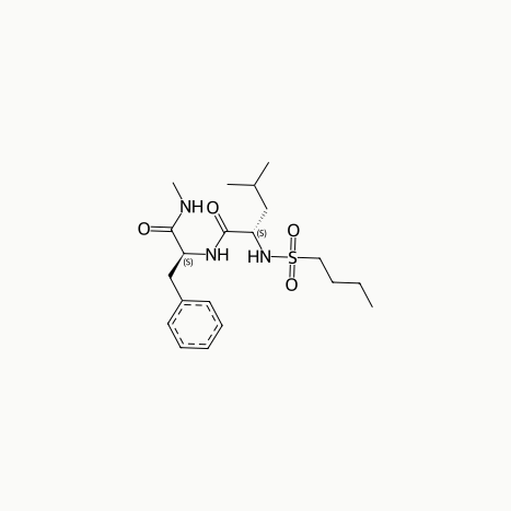 CCCCS(=O)(=O)N[C@@H](CC(C)C)C(=O)N[C@@H](Cc1ccccc1)C(=O)NC